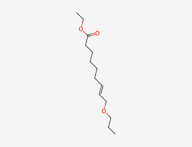 CCCOC/C=C/CCCCCC(=O)OCC